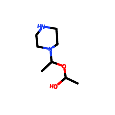 CC(O)OC(C)N1CCNCC1